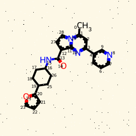 Cc1cc(-c2cccnc2)nc2c(C(=O)NC3CCC(c4ccco4)CC3)ccn12